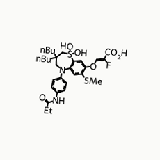 CCCCC1(CCCC)CN(c2ccc(NC(=O)CC)cc2)c2cc(SC)c(OC=C(F)C(=O)O)cc2S(O)(O)C1